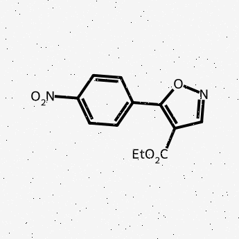 CCOC(=O)c1cnoc1-c1ccc([N+](=O)[O-])cc1